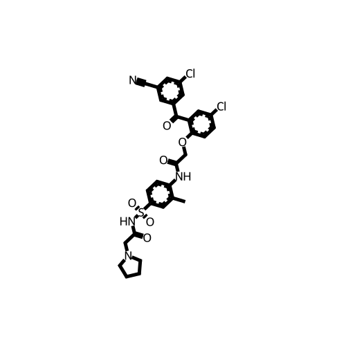 Cc1cc(S(=O)(=O)NC(=O)CN2CCCC2)ccc1NC(=O)COc1ccc(Cl)cc1C(=O)c1cc(Cl)cc(C#N)c1